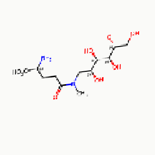 CN(C[C@H](O)[C@@H](O)[C@H](O)[C@H](O)CO)C(=O)CC[C@H](N)C(=O)O